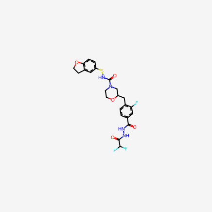 O=C(NNC(=O)C(F)F)c1ccc(CC2CN(C(=O)NSc3ccc4c(c3)CCO4)CCO2)c(F)c1